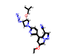 CCOc1cc(-c2ccc(N3C[C@@H](N=[N+]=[N-])[C@H](OCC(C)C)C3)nc2)c2c(C#N)cnn2c1